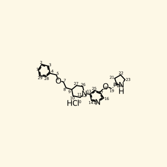 Cl.c1ccc(COCCC2CCN(c3cncc(OC[C@@H]4CCCN4)c3)CC2)cc1